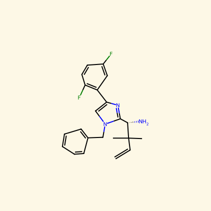 C=CC(C)(C)[C@@H](N)c1nc(-c2cc(F)ccc2F)cn1Cc1ccccc1